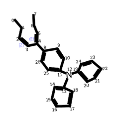 CC/C=C\C(=C/CC)c1ccc(N(c2ccccc2)c2ccccc2)cc1